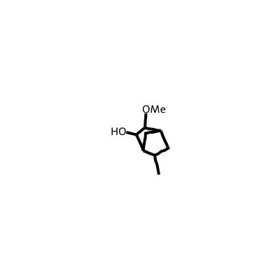 COC1C2CC(C)C(C2)C1O